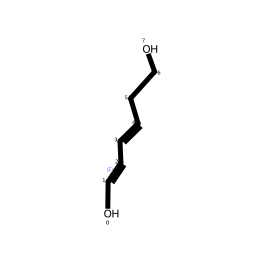 O/C=C/C=CCCO